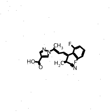 C=C(C#N)/C(=C\C=C(/C)n1cc(C(=O)O)cn1)c1c(F)cccc1F